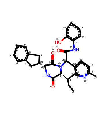 CCC(CC)[C@@H]1C(=O)N[C@H](C2Cc3ccccc3C2)C(=O)N1C(C(=O)Nc1ccccc1O)c1ccc(C)nc1